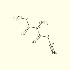 CCC(=O)N(N)C(=O)CC#N